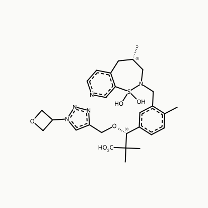 Cc1ccc([C@@H](OCc2cn(C3COC3)nn2)C(C)(C)C(=O)O)cc1CN1C[C@@H](C)Cc2ccncc2S1(O)O